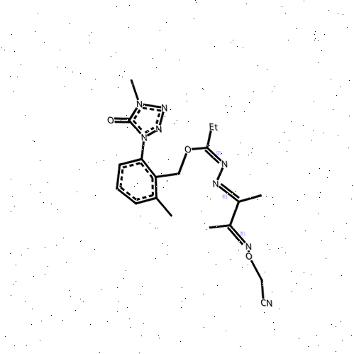 CC/C(=N/N=C(C)/C(C)=N/OCC#N)OCc1c(C)cccc1-n1nnn(C)c1=O